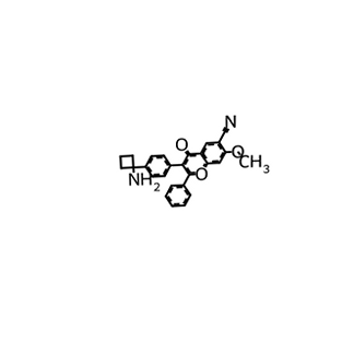 COc1cc2oc(-c3ccccc3)c(-c3ccc(C4(N)CCC4)cc3)c(=O)c2cc1C#N